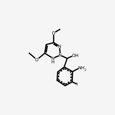 COC1=CC(OC)=NN(C(O)c2cccc(I)c2N)N1